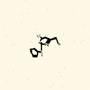 Cc1cc(CC(C)C)nc(Nc2ccccc2)n1